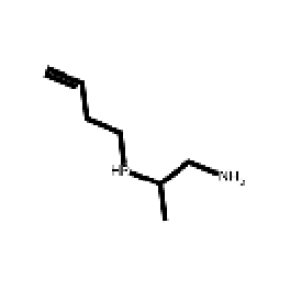 C=CCCPC(C)CN